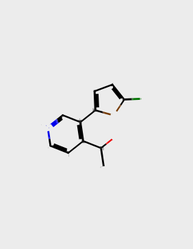 CC(O)c1ccncc1-c1ccc(Cl)s1